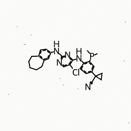 CP(C)c1cc(C2(C#N)CC2)ccc1Nc1nc(Nc2ccc3c(c2)CCCCC3)ncc1Cl